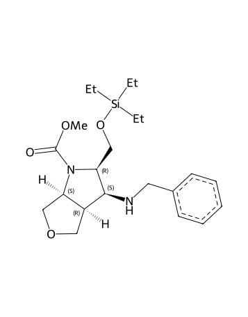 CC[Si](CC)(CC)OC[C@H]1[C@@H](NCc2ccccc2)[C@H]2COC[C@H]2N1C(=O)OC